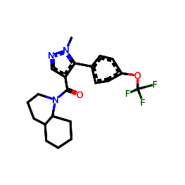 Cn1ncc(C(=O)N2CCCC3CCCCC32)c1-c1ccc(OC(F)(F)F)cc1